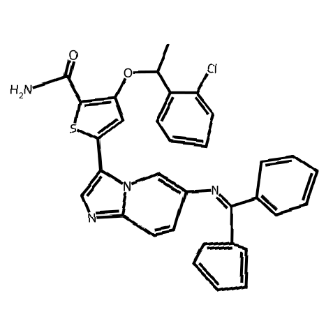 CC(Oc1cc(-c2cnc3ccc(N=C(c4ccccc4)c4ccccc4)cn23)sc1C(N)=O)c1ccccc1Cl